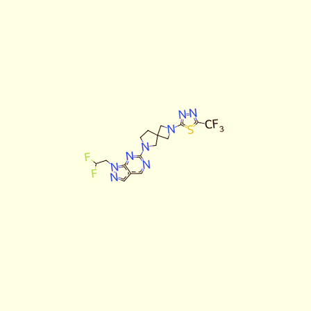 FC(F)Cn1ncc2cnc(N3CCC4(C3)CN(c3nnc(C(F)(F)F)s3)C4)nc21